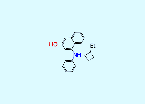 CCC1CCC1.Oc1cc(Nc2ccccc2)c2ccccc2c1